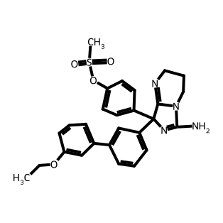 CCOc1cccc(-c2cccc(C3(c4ccc(OS(C)(=O)=O)cc4)N=C(N)N4CCCN=C43)c2)c1